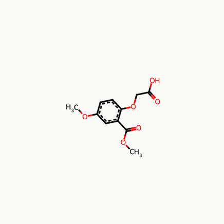 COC(=O)c1cc(OC)ccc1OCC(=O)O